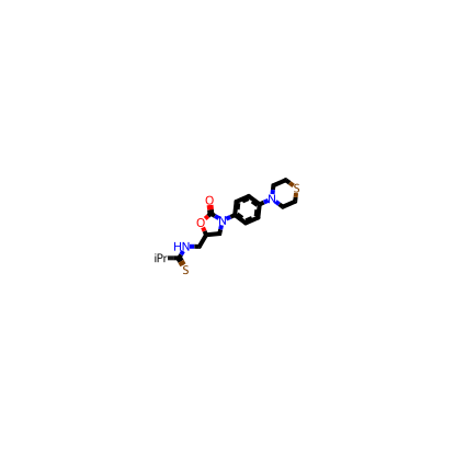 CC(C)C(=S)NCC1CN(c2ccc(N3CCSCC3)cc2)C(=O)O1